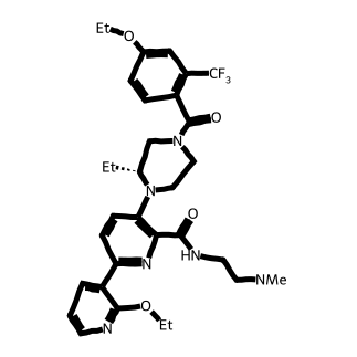 CCOc1ccc(C(=O)N2CCN(c3ccc(-c4cccnc4OCC)nc3C(=O)NCCNC)[C@H](CC)C2)c(C(F)(F)F)c1